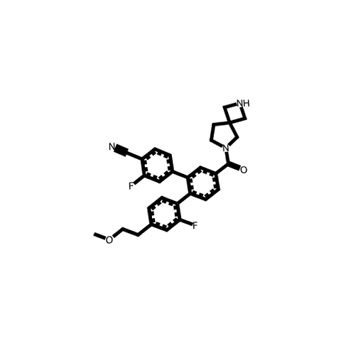 COCCc1ccc(-c2ccc(C(=O)N3CCC4(CNC4)C3)cc2-c2ccc(C#N)c(F)c2)c(F)c1